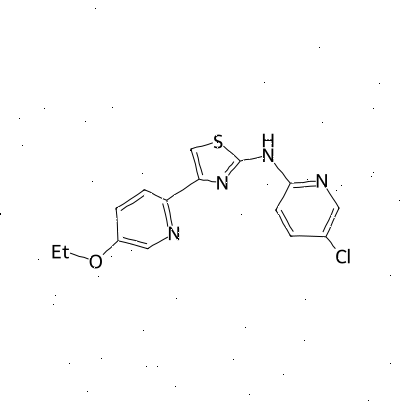 CCOc1ccc(-c2csc(Nc3ccc(Cl)cn3)n2)nc1